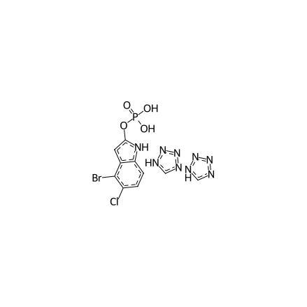 O=P(O)(O)Oc1cc2c(Br)c(Cl)ccc2[nH]1.c1nnn[nH]1.c1nnn[nH]1